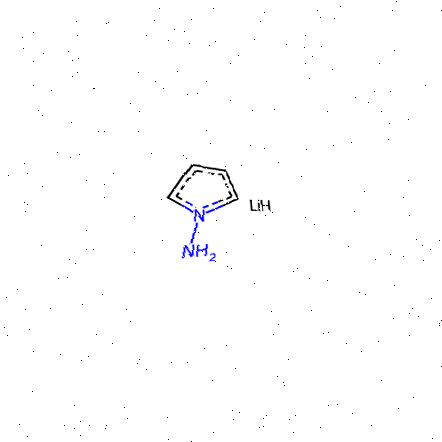 Nn1cccc1.[LiH]